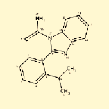 CC(C)c1ccccc1-c1nc2ccccc2n1C(N)=O